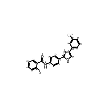 O=C(Nc1ccc(-c2nc(-c3cccc(Cl)c3)co2)cc1)c1ccccc1Cl